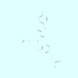 CC(C)NC(=N)NC[C@H]1Cc2cc(CNC(=N)N)ccc2[C@@H]1NC(=O)C(=O)Nc1ccc(Cl)c(F)c1